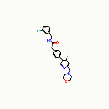 O=C(Cc1ccc(-c2cnc(CN3CCOCC3)cc2F)cc1)NCc1cccc(F)c1